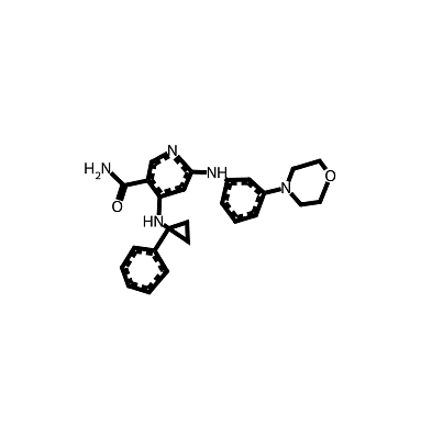 NC(=O)c1cnc(Nc2cccc(N3CCOCC3)c2)cc1NC1(c2ccccc2)CC1